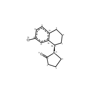 O=C1CCCN1[C@@H]1CCCc2ccc(Cl)cc21